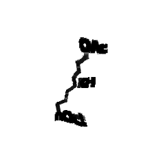 CCCCCCCCCCCCCCCCOC(C)=O.[KH]